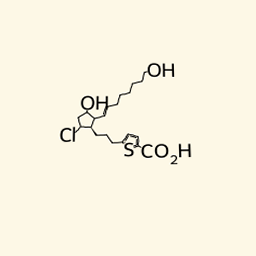 O=C(O)c1ccc(CCC[C@H]2C(Cl)C[C@@H](O)C2C=CCCCCCCO)s1